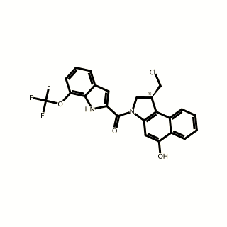 O=C(c1cc2cccc(OC(F)(F)F)c2[nH]1)N1C[C@@H](CCl)c2c1cc(O)c1ccccc21